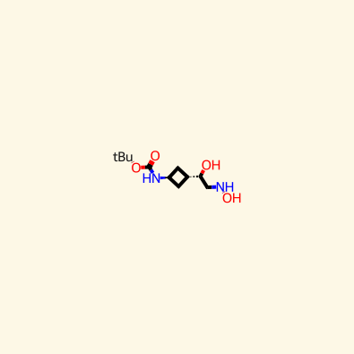 CC(C)(C)OC(=O)N[C@H]1C[C@H](C(O)CNO)C1